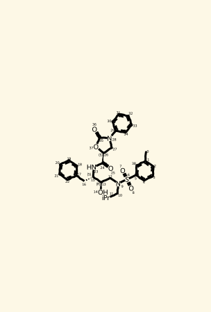 Cc1cccc(S(=O)(=O)N(CC(C)C)C[C@@H](O)[C@H](Cc2ccccc2)NC(=O)[C@@H]2CN(c3ccccc3)C(=O)O2)c1